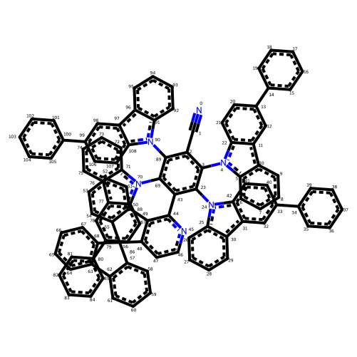 N#Cc1c(-n2c3ccccc3c3cc(-c4ccccc4)ccc32)c(-n2c3ccccc3c3cc(-c4ccccc4)ccc32)c(-c2nccc3c2-c2ccccc2C32c3ccccc3-c3ccccc32)c(-n2c3ccccc3c3cc(-c4ccccc4)ccc32)c1-n1c2ccccc2c2cc(-c3ccccc3)ccc21